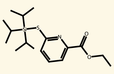 CCOC(=O)c1cccc(S[Si](C(C)C)(C(C)C)C(C)C)n1